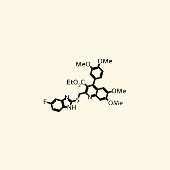 CCOC(=O)c1c(CSc2nc3cc(F)ccc3[nH]2)nc2cc(OC)c(OC)cc2c1-c1ccc(OC)c(OC)c1